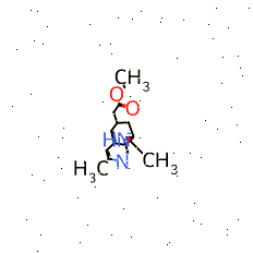 CCOC(=O)CC1C=C2C=C(C)N=CC23NC(C)CC3C1